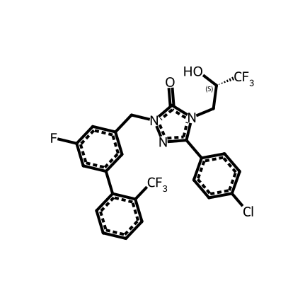 O=c1n(Cc2cc(F)cc(-c3ccccc3C(F)(F)F)c2)nc(-c2ccc(Cl)cc2)n1C[C@H](O)C(F)(F)F